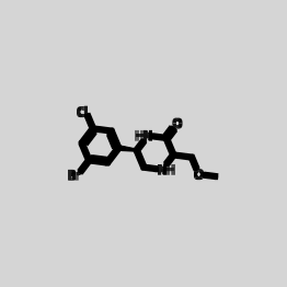 COCC1NC[C@@H](c2cc(Cl)cc(Br)c2)NC1=O